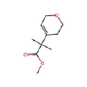 COC(=O)C(C)(C)C1=CCOCC1